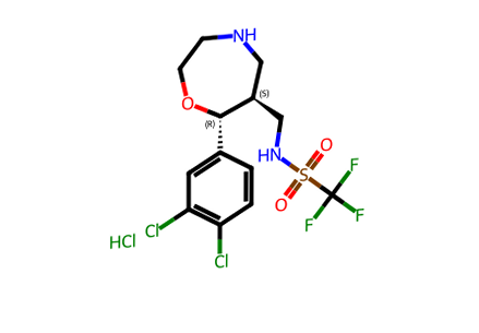 Cl.O=S(=O)(NC[C@@H]1CNCCO[C@H]1c1ccc(Cl)c(Cl)c1)C(F)(F)F